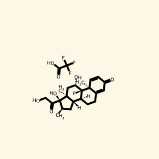 C[C@@H]1C[C@H]2[C@@H]3CCC4=CC(=O)C=C[C@]4(C)[C@@]3(F)[C@@H](O)C[C@]2(C)[C@@]1(O)C(=O)CO.O=C(O)C(F)(F)F